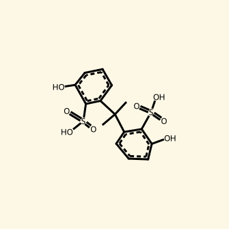 CC(C)(c1cccc(O)c1S(=O)(=O)O)c1cccc(O)c1S(=O)(=O)O